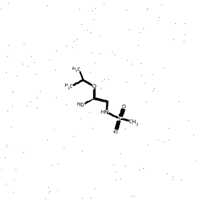 CC(C)O[C@H](O)CNS(C)(=O)=O